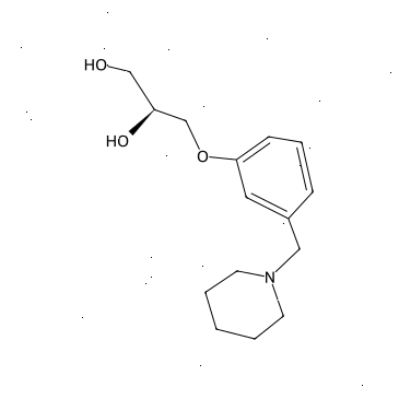 OC[C@H](O)COc1cccc(CN2CCCCC2)c1